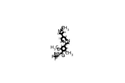 COc1cc(-c2cnc3cc(-c4cnn(C)c4)ccn23)cc(C)c1C(=O)NCC(F)(F)F